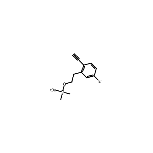 C#Cc1ccc(Br)cc1CCO[Si](C)(C)C(C)(C)C